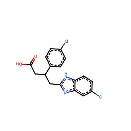 O=C(O)CC(Cc1nc2cc(Cl)ccc2[nH]1)c1ccc(Cl)cc1